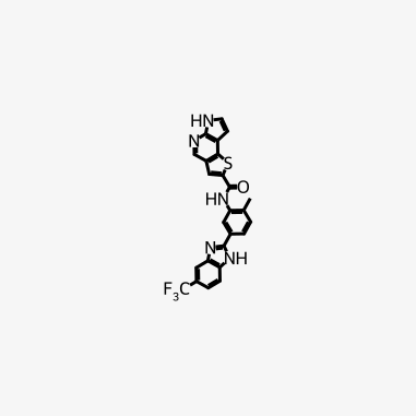 Cc1ccc(-c2nc3cc(C(F)(F)F)ccc3[nH]2)cc1NC(=O)c1cc2cnc3[nH]ccc3c2s1